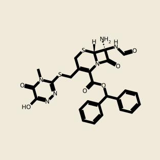 Cn1c(SCC2=C(C(=O)OC(c3ccccc3)c3ccccc3)N3C(=O)[C@](N)(NC=O)[C@H]3SC2)nnc(O)c1=O